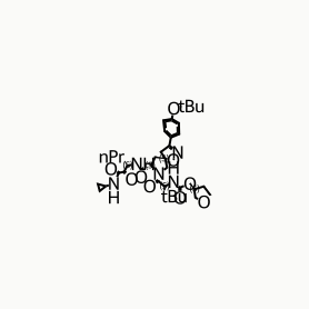 CCC[C@H](NC(=O)[C@@H]1C[C@]2(CC(c3ccc(OC(C)(C)C)cc3)=NO2)CN1C(=O)[C@@H](NC(=O)O[C@H]1CCOC1)C(C)(C)C)C(=O)C(=O)NC1CC1